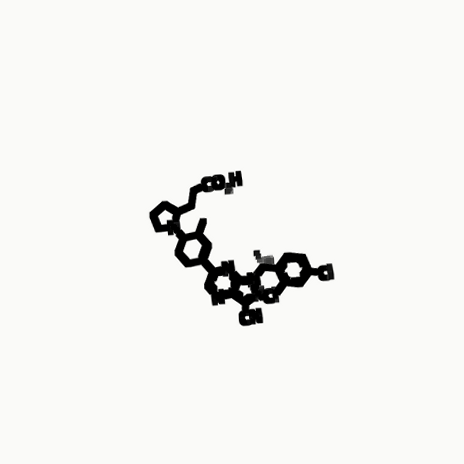 CC1C=C(c2cnc3c(C#N)nn([C@H](C)c4ccc(Cl)cc4Cl)c3n2)CCC1N1CCCC1CCC(=O)O